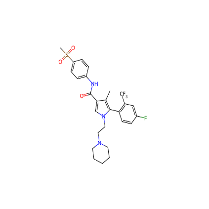 Cc1c(C(=O)Nc2ccc(S(C)(=O)=O)cc2)cn(CCN2CCCCC2)c1-c1ccc(F)cc1C(F)(F)F